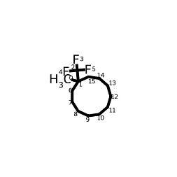 CC1(C(F)(F)F)CCCCCCCCCC1